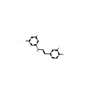 CCc1cc(Cl)cc(C(/C=C/c2ccc(C)c(Br)c2)C(F)(F)F)c1